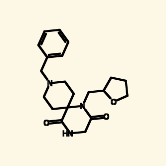 O=C1CNC(=O)C2(CCN(Cc3ccccc3)CC2)N1CC1CCCO1